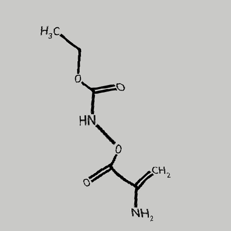 C=C(N)C(=O)ONC(=O)OCC